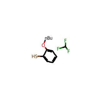 CCCCOc1ccccc1S.FC(F)F